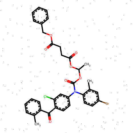 Cc1ccccc1C(=O)c1ccc(N(C(=O)OC(C)OC(=O)CCC(=O)OCc2ccccc2)c2ccc(Br)cc2C)cc1Cl